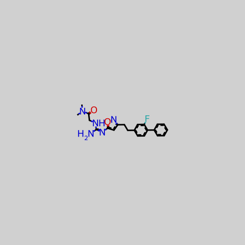 CN(C)C(=O)CNC(N)=Nc1cc(CCc2ccc(-c3ccccc3)c(F)c2)no1